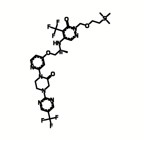 C[C@@H](COc1ccnc(N2CCN(c3ncc(C(F)(F)F)cn3)CC2=O)c1)Nc1cnn(COCC[Si](C)(C)C)c(=O)c1C(F)(F)F